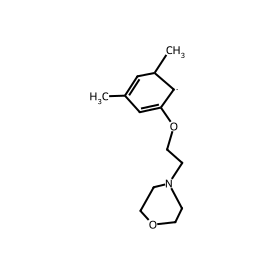 CC1=CC(C)[CH]C(OCCN2CCOCC2)=C1